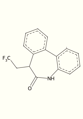 O=C1Nc2ccc[c]c2-c2ccccc2C1CC(F)(F)F